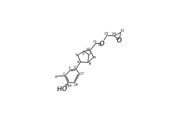 Cc1cc(C2CC3CC2CC3COCC2CO2)ccc1O